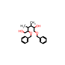 CC(C(O)COCc1ccccc1)C(C)C(CO)OCc1ccccc1